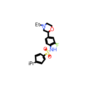 CCN1CCOC(c2ccc(NS(=O)(=O)c3ccc(C(C)C)cc3)c(F)c2)C1